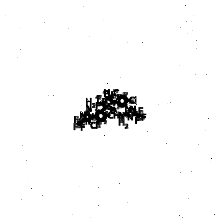 Cc1cc(Cl)c(-n2nc(C(F)(F)F)nc2N)cc1C([S+]([O-])C(c1cc(-n2nc(C(F)(F)F)nc2N)c(Cl)cc1C)C(F)(F)F)C(F)(F)F